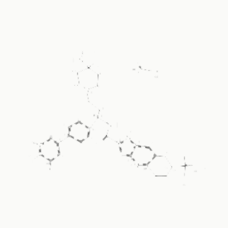 CNC1(O)CCN(CC[C@@H](NC(=O)c2nc3cc4c(nc3s2)CC[C@H](C(C)(C)C)C4)c2ccc(-c3cnc(O)c(F)c3)cc2)CC1.O=CO